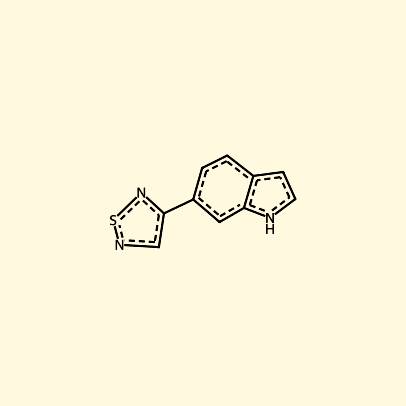 c1cc2ccc(-c3cnsn3)cc2[nH]1